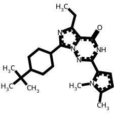 CCc1nc(C2CCC(C(C)(C)C)CC2)n2nc(-c3ccc(C)n3C)[nH]c(=O)c12